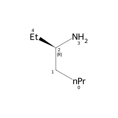 CCCC[C@H](N)CC